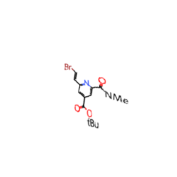 CNC(=O)c1cc(C(=O)OC(C)(C)C)cc(C=CBr)n1